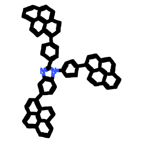 c1cc2ccc3ccc(-c4ccc(-c5nc6cc(-c7ccc8ccc9cccc%10ccc7c8c9%10)ccc6n5-c5ccc(-c6ccc7ccc8cccc9ccc6c7c89)cc5)cc4)c4ccc(c1)c2c34